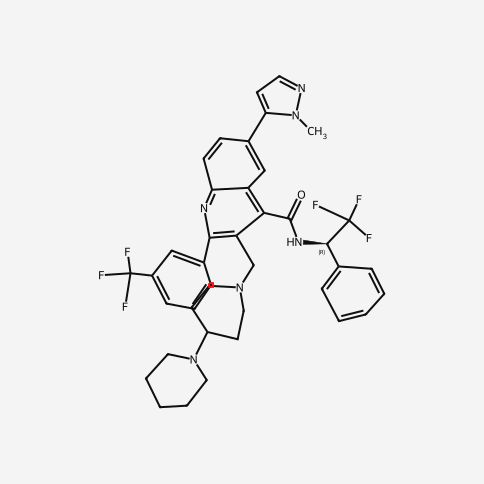 Cn1nccc1-c1ccc2nc(-c3cccc(C(F)(F)F)c3)c(CN3CCC(N4CCCCC4)CC3)c(C(=O)N[C@H](c3ccccc3)C(F)(F)F)c2c1